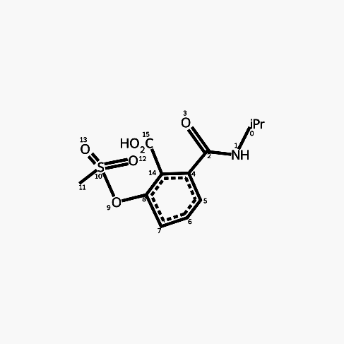 CC(C)NC(=O)c1cccc(OS(C)(=O)=O)c1C(=O)O